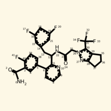 NC(=O)c1cc(-c2cccnc2C(Cc2cc(F)cc(F)c2)NC(=O)Cn2nc3c(c2C(F)(F)F)CCC3)ccc1F